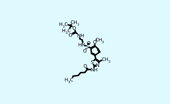 CCCCCC(=O)Nc1nc(C)c(-c2ccc(OC)c(S(=O)(=O)NCCNC(=O)OC(C)(C)C)c2)s1